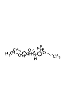 CCCCCOc1ccc(NC(=S)NC(=O)c2ccc(OCCN(C)C)nc2)cc1C(F)(F)F